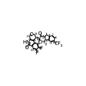 CN(C(=O)N1Cc2ccc(C(F)(F)F)cc2C1)[C@H]1COCc2[nH]c(=O)c3cc(F)c(F)cc3c21